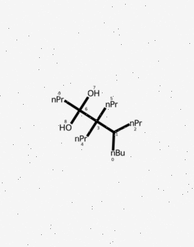 CCCCC(CCC)C(CCC)(CCC)C(O)(O)CCC